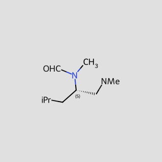 CNC[C@H](CC(C)C)N(C)C=O